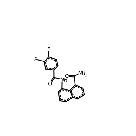 NC(=O)c1cccc2cccc(NC(=O)c3ccc(F)c(F)c3)c12